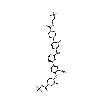 Cc1cc(Nc2ncnc(-c3ccc(OC4CCN(C(=O)OC(C)(C)C)CC4F)c(C#N)c3)n2)ccc1C1CCN(C(=O)OCC[Si](C)(C)C)CC1